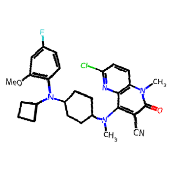 COc1cc(F)ccc1N(C1CCC1)C1CCC(N(C)c2c(C#N)c(=O)n(C)c3ccc(Cl)nc23)CC1